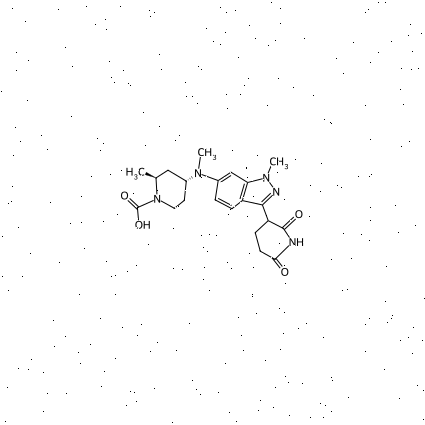 C[C@H]1C[C@H](N(C)c2ccc3c(C4CCC(=O)NC4=O)nn(C)c3c2)CCN1C(=O)O